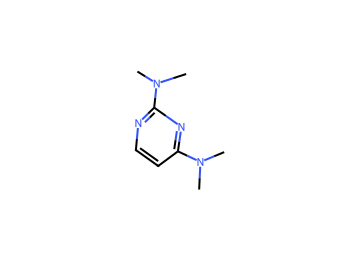 CN(C)c1ccnc(N(C)C)n1